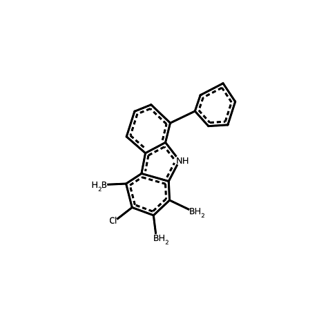 Bc1c(Cl)c(B)c2c([nH]c3c(-c4ccccc4)cccc32)c1B